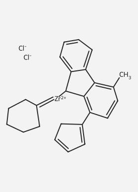 Cc1ccc(C2=CC=CC2)c2c1-c1ccccc1[CH]2[Zr+2]=[C]1CCCCC1.[Cl-].[Cl-]